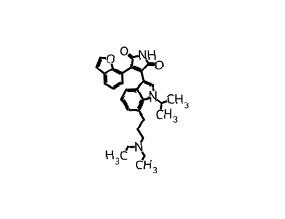 CCN(CC)CCCc1cccc2c(C3=C(c4cccc5ccoc45)C(=O)NC3=O)cn(C(C)C)c12